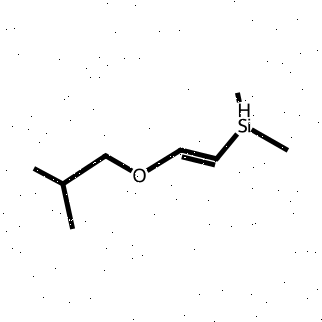 CC(C)COC=C[SiH](C)C